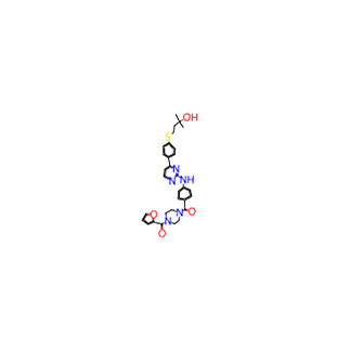 CC(C)(O)CCSc1ccc(-c2ccnc(Nc3ccc(C(=O)N4CCN(C(=O)c5ccco5)CC4)cc3)n2)cc1